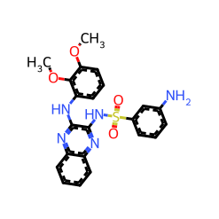 COc1cccc(Nc2nc3ccccc3nc2NS(=O)(=O)c2cccc(N)c2)c1OC